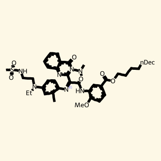 CCCCCCCCCCCCCCOC(=O)c1ccc(OC)c(NC(=O)/C(=N/c2ccc(N(CC)CCNS(C)(=O)=O)cc2C)c2nc3ccccc3c(=O)n2N(C)C)c1